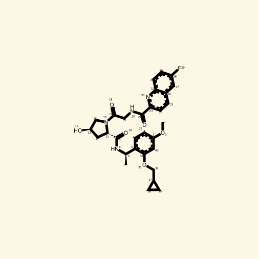 COc1ccc([C@@H](C)NC(=O)[C@@H]2C[C@@H](O)CN2C(=O)CNC(=O)c2ccc3cc(F)ccc3n2)c(OCC2CC2)c1